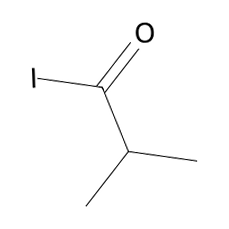 CC(C)C(=O)I